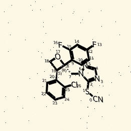 N#CSc1ncnn1C[C@@]1(c2ccc(F)cc2F)OC[C@@H]1c1ccccc1Cl